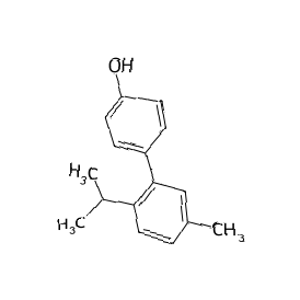 Cc1ccc(C(C)C)c(-c2ccc(O)cc2)c1